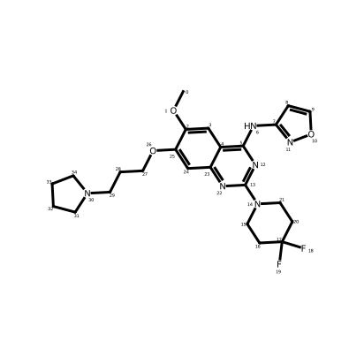 COc1cc2c(Nc3ccon3)nc(N3CCC(F)(F)CC3)nc2cc1OCCCN1CCCC1